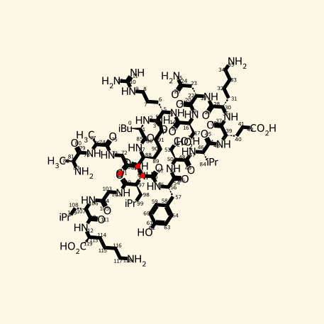 CC[C@H](C)[C@H](NC(=O)[C@H](CCCNC(=N)N)NC(=O)[C@H](CO)NC(=O)[C@H](CC(N)=O)NC(=O)[C@H](CCCCN)NC(=O)[C@H](CCC(=O)O)NC(=O)[C@@H](NC(=O)[C@H](CC(=O)O)NC(=O)[C@H](Cc1ccc(O)cc1)NC(=O)CNC(=O)CNC(=O)[C@H](C)NC(=O)[C@H](C)N)C(C)C)C(=O)N[C@@H](CCCCN)C(=O)N[C@@H](CC(C)C)C(=O)NCC(=O)N[C@@H](CC(C)C)C(=O)N[C@@H](CCCCN)C(=O)O